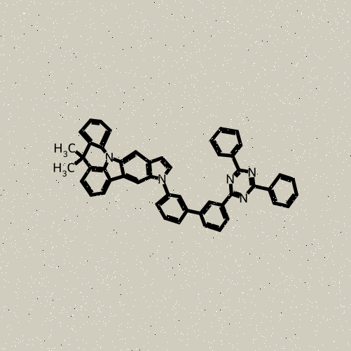 CC1(C)c2ccccc2-n2c3cc4ccn(-c5cccc(-c6cccc(-c7nc(-c8ccccc8)nc(-c8ccccc8)n7)c6)c5)c4cc3c3cccc1c32